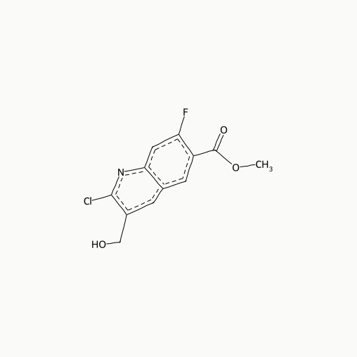 COC(=O)c1cc2cc(CO)c(Cl)nc2cc1F